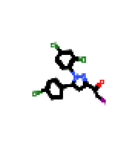 O=C(CI)C1=NN(c2ccc(Cl)cc2Cl)C(c2ccc(Cl)cc2)C1